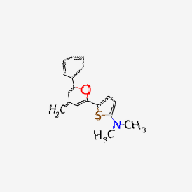 C=C1C=C(c2ccccc2)OC(c2ccc(N(C)C)s2)=C1